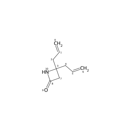 C=CCC1(CC=C)CC(=O)N1